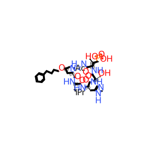 CC(=O)N1C[C@H](OCCCCc2ccccc2)C[C@H]1C(=O)N[C@@H](CC(C)C)C(=O)N[C@@H](Cc1cnc[nH]1)C(=O)N[C@@H](CO)C(=O)N[C@H](C(N)=O)[C@@H](C)CP(=O)(O)O